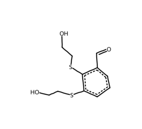 O=Cc1cccc(SCCO)c1SCCO